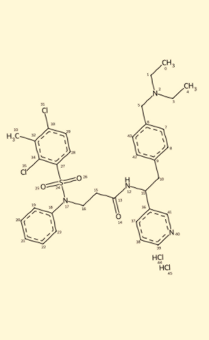 CCN(CC)Cc1ccc(CC(NC(=O)CCN(c2ccccc2)S(=O)(=O)c2ccc(Cl)c(C)c2Cl)c2cccnc2)cc1.Cl.Cl